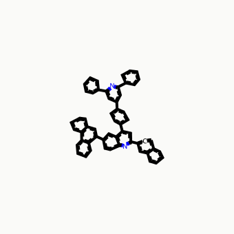 c1ccc(-c2cc(-c3ccc(-c4cc(-c5ccc6ccccc6c5)nc5ccc(-c6cc7ccccc7c7ccccc67)cc45)cc3)cc(-c3ccccc3)n2)cc1